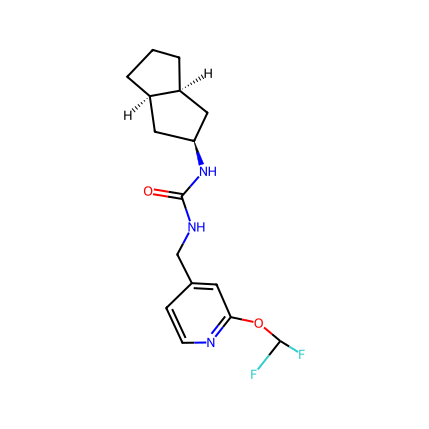 O=C(NCc1ccnc(OC(F)F)c1)N[C@H]1C[C@H]2CCC[C@H]2C1